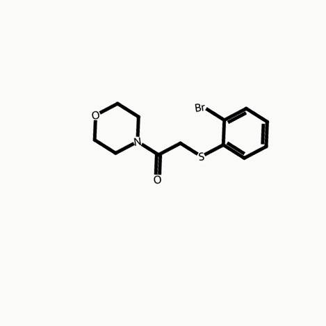 O=C(CSc1ccccc1Br)N1CCOCC1